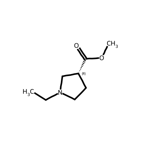 CCN1CC[C@@H](C(=O)OC)C1